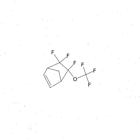 FC(F)(F)OC1(F)C2C=CC(C2)C1(F)F